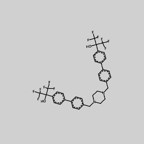 OC(c1ccc(-c2ccc(CN3CCN(Cc4ccc(-c5ccc(C(O)(C(F)(F)F)C(F)(F)F)cc5)cc4)CC3)cc2)cc1)(C(F)(F)F)C(F)(F)F